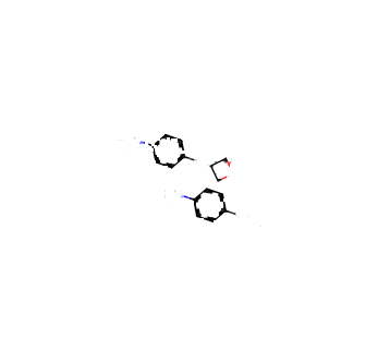 C1COC1.Nc1ccc(C(=O)O)cc1.Nc1ccc(C(=O)O)cc1